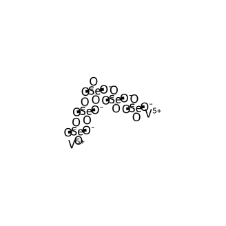 O=[Se](=O)([O-])[O-].O=[Se](=O)([O-])[O-].O=[Se](=O)([O-])[O-].O=[Se](=O)([O-])[O-].O=[Se](=O)([O-])[O-].[V+5].[V+5]